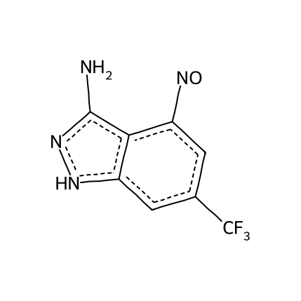 Nc1n[nH]c2cc(C(F)(F)F)cc(N=O)c12